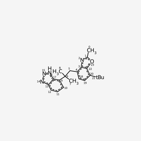 Cc1nc2c(CC(C)(C)c3cccc4nn[nH]c34)ccc(C(C)(C)C)c2o1